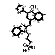 CN1C(c2nccs2)=C/C(=C\c2sc3ccccc3[n+]2CCCS(=O)(=O)O)c2ccccc21